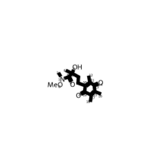 CON(C)C(=O)C(C)(O)CCC1=C(C)C(=O)C(C)=C(C)C1=O